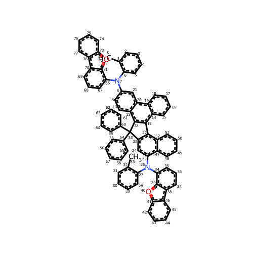 Cc1ccccc1N(c1ccc2c3c(c4ccccc4c2c1)-c1c(cc(N(c2ccccc2C)c2cccc4c2oc2ccccc24)c2ccccc12)C3(c1ccccc1)c1ccccc1)c1cccc2c1oc1ccccc12